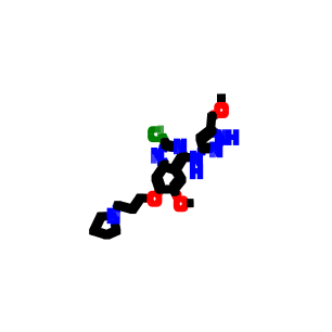 COCc1cc(Nc2nc(Cl)nc3cc(OCCCN4CCCC4)c(OC)cc23)n[nH]1